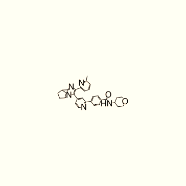 Cc1cccc(-c2nc3n(c2-c2ccnc(-c4ccc(C(=O)NC5CCOCC5)cc4)c2)C2CCC3C2)n1